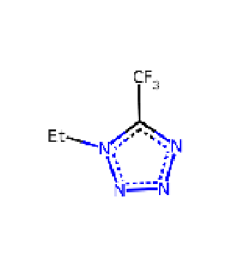 CCn1nnnc1C(F)(F)F